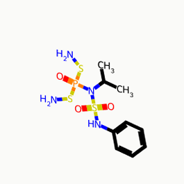 CC(C)N(P(=O)(SN)SN)S(=O)(=O)Nc1ccccc1